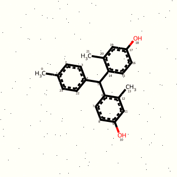 Cc1ccc(C(c2ccc(O)cc2C)c2ccc(O)cc2C)cc1